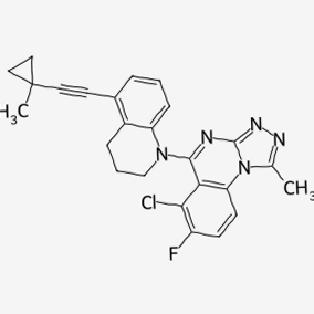 Cc1nnc2nc(N3CCCc4c(C#CC5(C)CC5)cccc43)c3c(Cl)c(F)ccc3n12